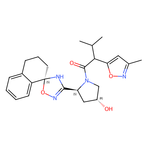 Cc1cc(C(C(=O)N2C[C@H](O)C[C@H]2C2=NO[C@]3(CCCc4ccccc43)N2)C(C)C)on1